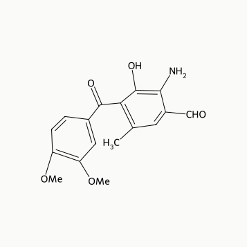 COc1ccc(C(=O)c2c(C)cc(C=O)c(N)c2O)cc1OC